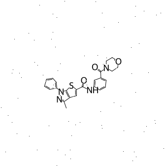 Cc1nn(-c2ccccc2)c2sc(C(=O)Nc3cccc(C(=O)N4CCOCC4)c3)cc12